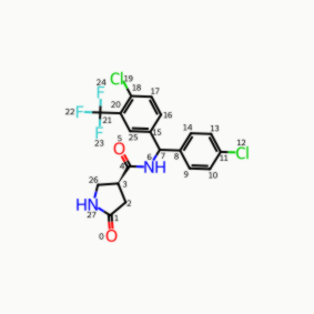 O=C1C[C@H](C(=O)NC(c2ccc(Cl)cc2)c2ccc(Cl)c(C(F)(F)F)c2)CN1